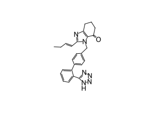 CC/C=C/c1nc2c(n1Cc1ccc(-c3ccccc3-c3nnn[nH]3)cc1)C(=O)CCC2